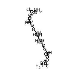 NC(=O)c1cc(Cl)cc2c1CC[C@H]2Oc1ccc(S(=O)(=O)NCCOCCOCCNC(=O)NCCCCNC(=O)NCCOCCOCCNS(=O)(=O)c2ccc(O[C@@H]3CCc4c(C(N)=O)cc(Cl)cc43)cc2)cc1